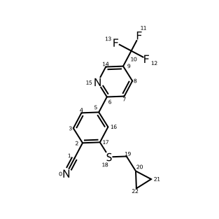 N#Cc1ccc(-c2ccc(C(F)(F)F)cn2)cc1SCC1CC1